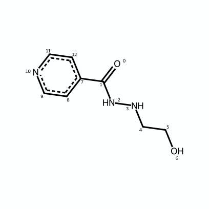 O=C(NNCCO)c1ccncc1